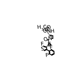 CS(=O)(=O)NC[C@@H]1CCN1C(=O)[C@H]1C[C@@H]1c1c(-c2c(F)cccc2F)csc1F